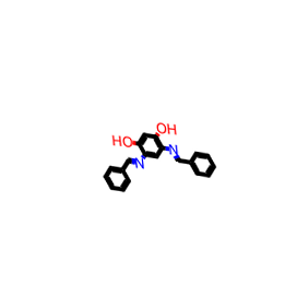 Oc1cc(O)c(N=Cc2ccccc2)cc1N=Cc1ccccc1